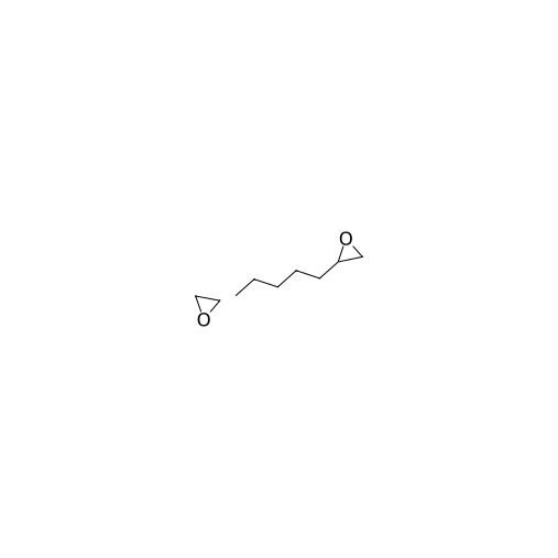 C1CO1.CCCCCC1CO1